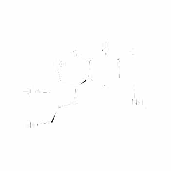 NCc1cn([C@H]2O[C@@H](CO)C(O)C2O)c(=S)[nH]c1=O